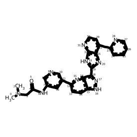 CN(C)CC(=O)Nc1cncc(-c2ccc3[nH]nc(-c4nc5c(-c6ccccn6)ccnc5[nH]4)c3n2)c1